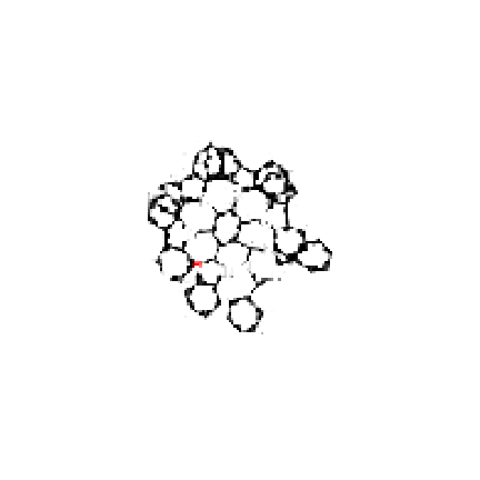 c1ccc(-c2nc(-c3ccccc3)nc(-c3c(-c4nc5ccccc5o4)c(-n4c5ccccc5c5cnccc54)c(-n4c5ccccc5c5cnccc54)c(-n4c5ccccc5c5cnccc54)c3-n3c4ccccc4c4cnccc43)n2)cc1